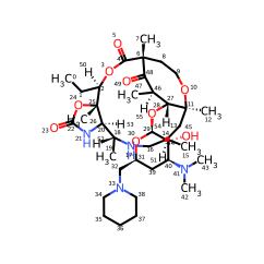 CC[C@H]1OC(=O)[C@]2(C)CCO[C@@](C)(C[C@@H](C)CN[C@H](C)[C@H]3NC(=O)O[C@@]31C)[C@H](O[C@@H]1O[C@H](CN3CCCCC3)C[C@H](N(C)C)[C@H]1O)[C@@H](C)C2=O